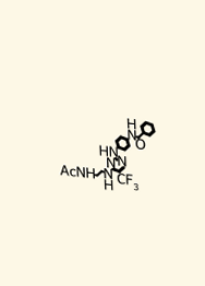 CC(=O)NCCNc1nc(Nc2ccc(NC(=O)c3ccccc3)cc2)ncc1C(F)(F)F